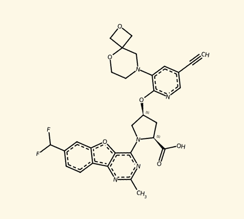 C#Cc1cnc(O[C@H]2C[C@@H](C(=O)O)N(c3nc(C)nc4c3oc3cc(C(F)F)ccc34)C2)c(N2CCOC3(COC3)C2)c1